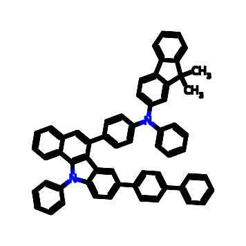 CC1(C)c2ccccc2-c2ccc(N(c3ccccc3)c3ccc(-c4cc5ccccc5c5c4c4cc(-c6ccc(-c7ccccc7)cc6)ccc4n5-c4ccccc4)cc3)cc21